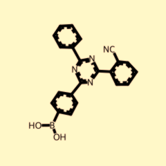 N#Cc1ccccc1-c1nc(-c2ccccc2)nc(-c2ccc(B(O)O)cc2)n1